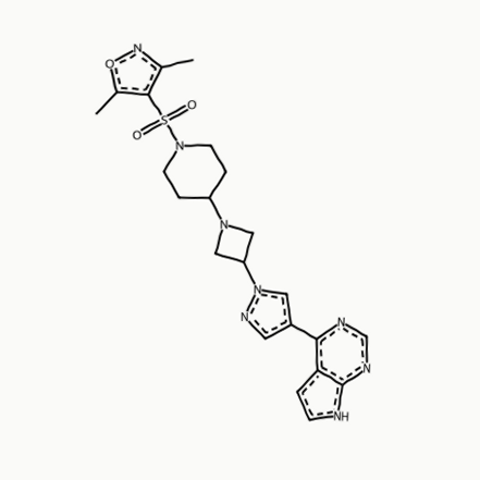 Cc1noc(C)c1S(=O)(=O)N1CCC(N2CC(n3cc(-c4ncnc5[nH]ccc45)cn3)C2)CC1